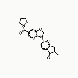 CC1Cc2nc(N3COc4cc(C(=O)N5CCCC5)cnc43)ccc2C1=O